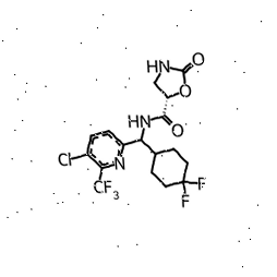 O=C1NC[C@@H](C(=O)NC(c2ccc(Cl)c(C(F)(F)F)n2)C2CCC(F)(F)CC2)O1